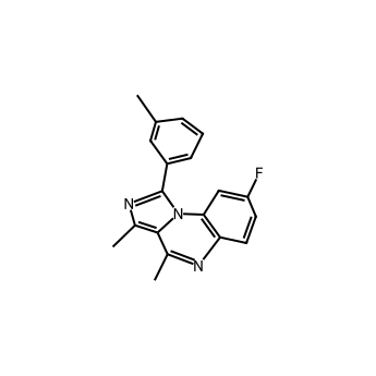 Cc1cccc(-c2nc(C)c3c(C)nc4ccc(F)cc4n23)c1